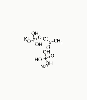 CC(=O)[O-].O=P(O)(O)O.O=P([O-])(O)O.[K+].[Na+]